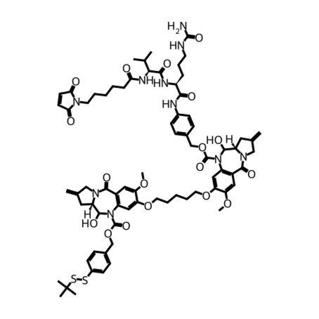 C=C1C[C@H]2C(O)N(C(=O)OCc3ccc(NC(=O)[C@H](CCCNC(N)=O)NC(=O)[C@@H](NC(=O)CCCCCN4C(=O)C=CC4=O)C(C)C)cc3)c3cc(OCCCCCOc4cc5c(cc4OC)C(=O)N4CC(=C)C[C@H]4C(O)N5C(=O)OCc4ccc(SSC(C)(C)C)cc4)c(OC)cc3C(=O)N2C1